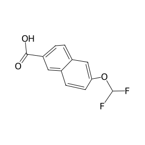 O=C(O)c1ccc2cc(OC(F)F)ccc2c1